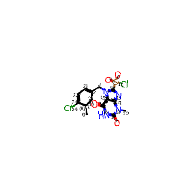 C[C@@H]1CC(Cn2c(S(=O)(=O)Cl)nc3c2c(=O)[nH]c(=O)n3C)=CC=C1Cl